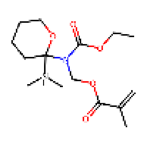 C=C(C)C(=O)OCN(C(=O)OCC)C1([SiH](C)C)CCCCO1